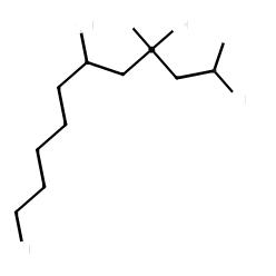 CCCCCCC(C)CC(C)(O)CC(C)C